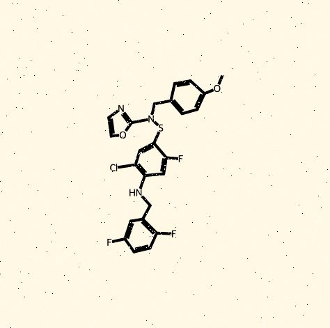 COc1ccc(CN(Sc2cc(Cl)c(NCc3cc(F)ccc3F)cc2F)c2ncco2)cc1